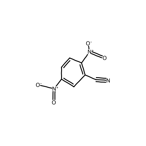 N#Cc1cc([N+](=O)[O-])ccc1[N+](=O)[O-]